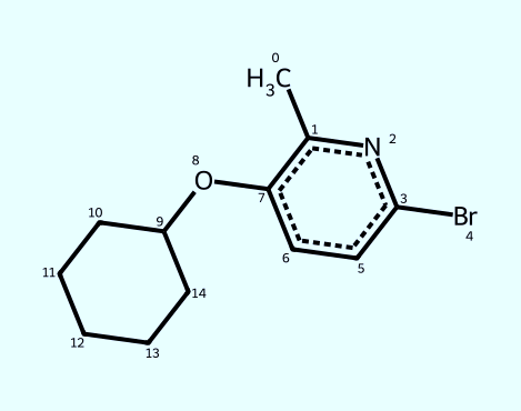 Cc1nc(Br)ccc1OC1CCCCC1